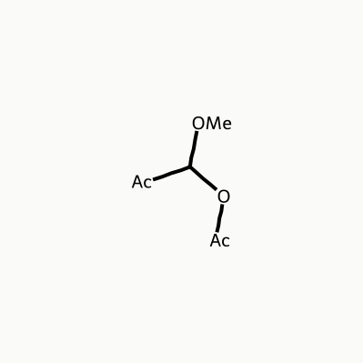 COC(OC(C)=O)C(C)=O